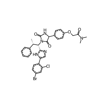 C[C@@H](c1ccccc1)[C@@H](c1ncc(-c2ccc(Br)cc2Cl)[nH]1)N1C(=O)NC(c2ccc(OCC(=O)N(C)C)cc2)C1=O